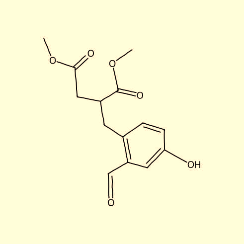 COC(=O)CC(Cc1ccc(O)cc1C=O)C(=O)OC